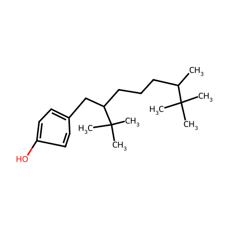 CC(CCCC(Cc1ccc(O)cc1)C(C)(C)C)C(C)(C)C